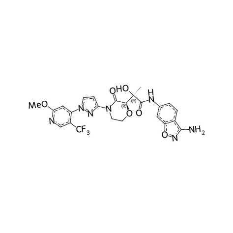 COc1cc(-n2ccc(N3CCO[C@H]([C@@](C)(O)C(=O)Nc4ccc5c(N)noc5c4)C3=O)n2)c(C(F)(F)F)cn1